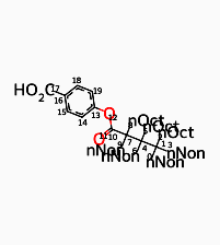 CCCCCCCCCC(CCCCCCCC)(CCCCCCCCC)C(CCCCCCCC)(CCCCCCCCC)C(CCCCCCCC)(CCCCCCCCC)C(=O)Oc1ccc(C(=O)O)cc1